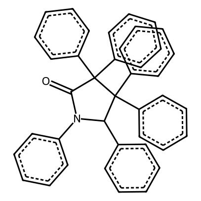 O=C1N(c2ccccc2)C(c2ccccc2)C(c2ccccc2)(c2ccccc2)C1(c1ccccc1)c1ccccc1